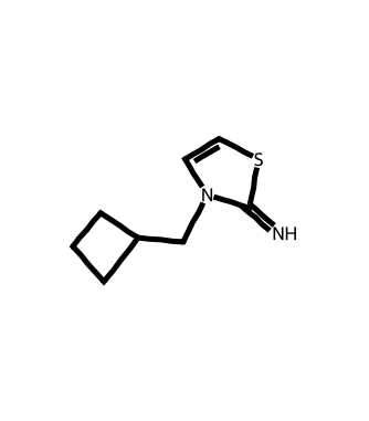 N=c1sccn1CC1CCC1